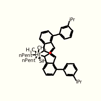 CCCC[CH2][Hf]([CH3])([CH3])(=[SiH2])([CH2]CCCC)([CH]1C=Cc2c(-c3cccc(C(C)C)c3)cccc21)[CH]1C=Cc2c(-c3cccc(C(C)C)c3)cccc21